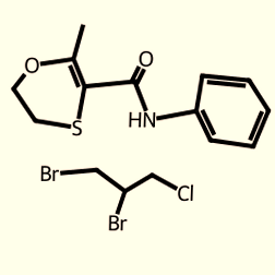 CC1=C(C(=O)Nc2ccccc2)SCCO1.ClCC(Br)CBr